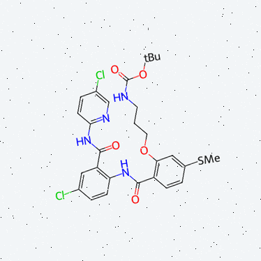 CSc1ccc(C(=O)Nc2ccc(Cl)cc2C(=O)Nc2ccc(Cl)cn2)c(OCCCNC(=O)OC(C)(C)C)c1